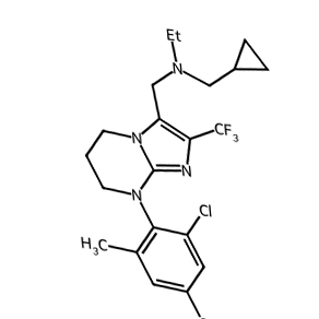 CCN(Cc1c(C(F)(F)F)nc2n1CCCN2c1c(C)cc(C)cc1Cl)CC1CC1